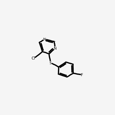 Fc1ccc(Sc2n[c]ncc2Cl)cc1